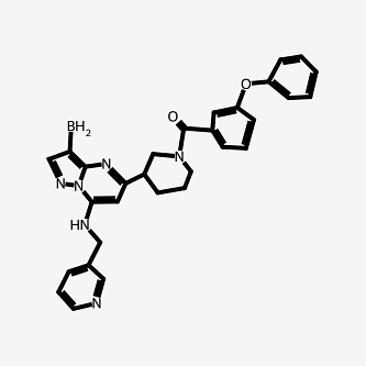 Bc1cnn2c(NCc3cccnc3)cc(C3CCCN(C(=O)c4cccc(Oc5ccccc5)c4)C3)nc12